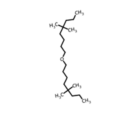 CCCC(C)(C)CCCCOCCCCC(C)(C)CCC